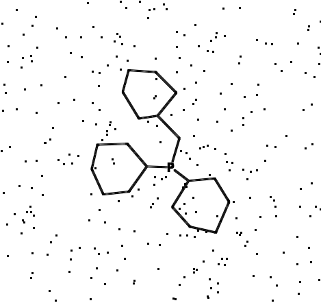 C1CCC(CP(C2CCCCC2)C2CCCCC2)CC1